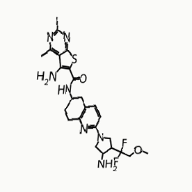 COCC(F)(F)C1CN(c2ccc3c(n2)CCC(NC(=O)c2sc4nc(C)nc(C)c4c2N)C3)CC1N